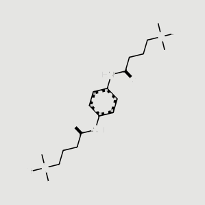 CS(C)(Cl)CCCC(=O)Nc1ccc(NC(=O)CCCS(C)(C)Cl)cc1